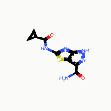 NC(=O)c1n[nH]c2nc(NC(=O)C3CC3)sc12